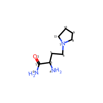 NC(=O)C(N)CCN1CCCC1